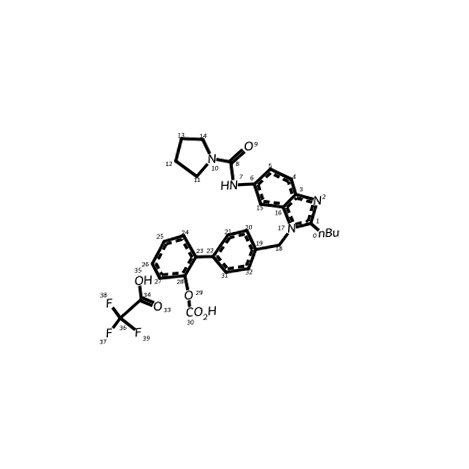 CCCCc1nc2ccc(NC(=O)N3CCCC3)cc2n1Cc1ccc(-c2ccccc2OC(=O)O)cc1.O=C(O)C(F)(F)F